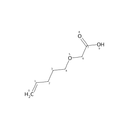 C=CCCCOCC(=O)O